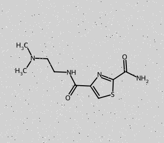 CN(C)CCNC(=O)c1csc(C(N)=O)n1